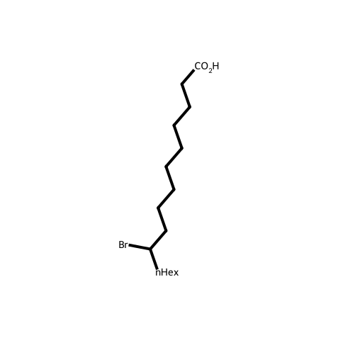 CCCCCCC(Br)CCCCCCCCC(=O)O